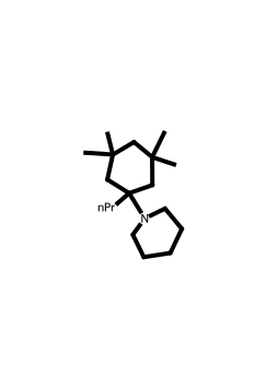 CCCC1(N2CCCCC2)CC(C)(C)CC(C)(C)C1